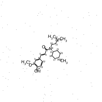 COc1cc(/C=C/C(=O)N(CCN(C)C)[C@H]2CC[C@@H](C)CC2)ccc1O